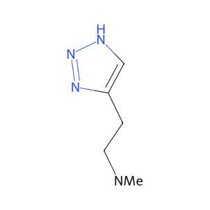 CNCCc1c[nH]nn1